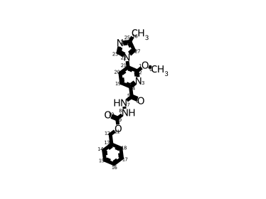 COc1nc(C(=O)NNC(=O)OCc2ccccc2)ccc1-n1cnc(C)c1